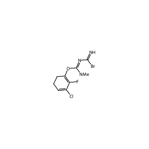 CN/C(=N\C(=N)Br)OC1=C(F)C(Cl)=CCC1